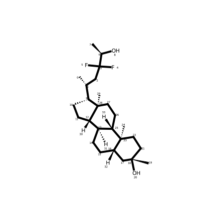 C[C@H](CC(F)(F)[C@@H](C)O)[C@H]1CC[C@H]2[C@@H]3CC[C@H]4C[C@@](C)(O)CC[C@]4(C)[C@H]3CC[C@]12C